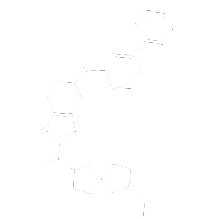 CCN1CCC2(CCN(C(=O)c3cc4cc(Nc5nccc(-c6ccccn6)n5)ccc4[nH]3)C2)C1